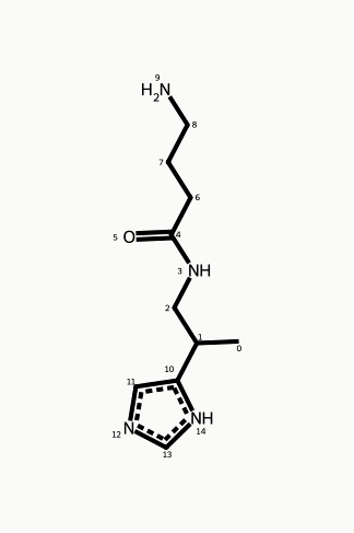 CC(CNC(=O)CCCN)c1cnc[nH]1